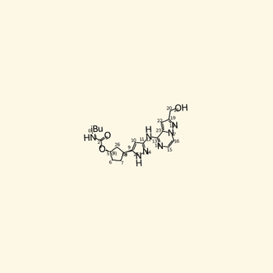 CCC(C)NC(=O)O[C@@H]1CC[C@H](c2cc(Nc3nccn4nc(CO)cc34)n[nH]2)C1